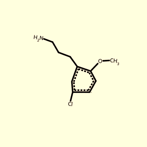 COc1c[c]c(Cl)cc1CCCN